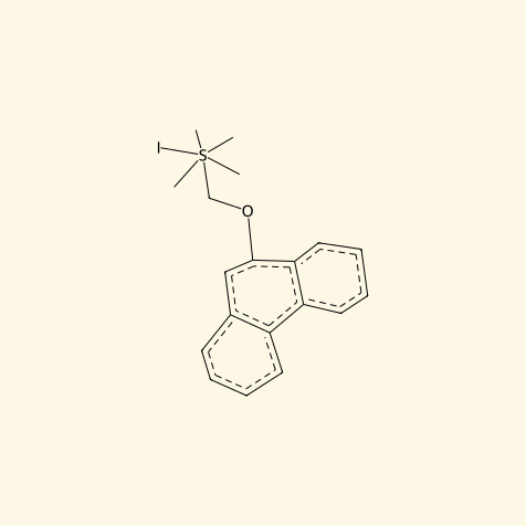 CS(C)(C)(C)(I)COc1cc2ccccc2c2ccccc12